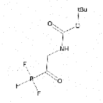 CC(C)(C)OC(=O)NCC(=O)[B-](F)(F)F